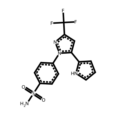 NS(=O)(=O)c1ccc(-n2nc(C(F)(F)F)cc2-c2ccc[nH]2)cc1